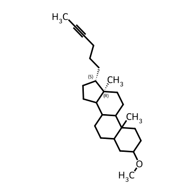 CC#CCCC[C@H]1CCC2C3CCC4CC(OC)CCC4(C)C3CC[C@@]21C